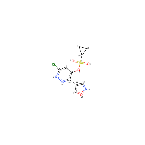 O=S(=O)(Oc1cc(Cl)nnc1-c1cnoc1)C1CC1